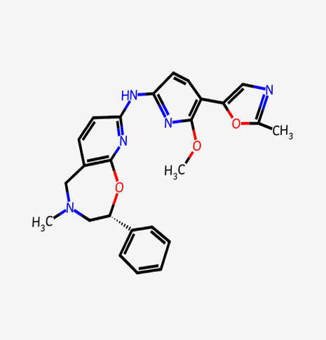 COc1nc(Nc2ccc3c(n2)O[C@H](c2ccccc2)CN(C)C3)ccc1-c1cnc(C)o1